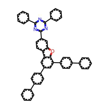 c1ccc(-c2ccc(-c3cc(-c4ccc(-c5ccccc5)cc4)c4oc5cc(-c6nc(-c7ccccc7)nc(-c7ccccc7)n6)ccc5c4c3)cc2)cc1